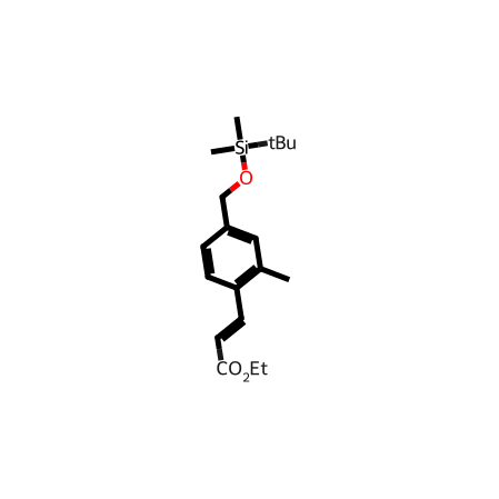 CCOC(=O)/C=C/c1ccc(CO[Si](C)(C)C(C)(C)C)cc1C